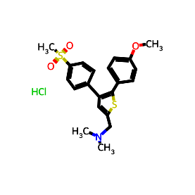 COc1ccc(-c2sc(CN(C)C)cc2-c2ccc(S(C)(=O)=O)cc2)cc1.Cl